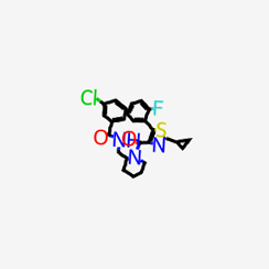 O=C(NCC1CCCCN1C(=O)c1nc(C2CC2)sc1-c1ccccc1F)c1cccc(Cl)c1